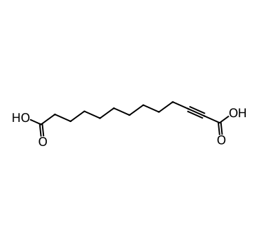 O=C(O)C#CCCCCCCCCCC(=O)O